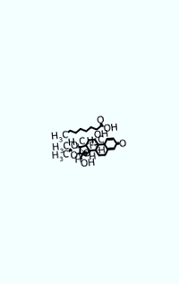 CC1(C)O[C@@H]2C[C@H]3[C@@H]4CCC5=CC(=O)C=C[C@]5(C)[C@@]4(F)[C@@H](O)C[C@]3(C)[C@]2(C(=O)CO)O1.CCCCCCCC(=O)O